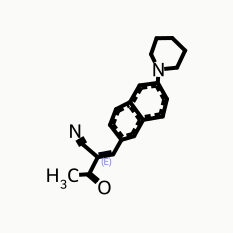 CC(=O)/C(C#N)=C/c1ccc2cc(N3CCCCC3)ccc2c1